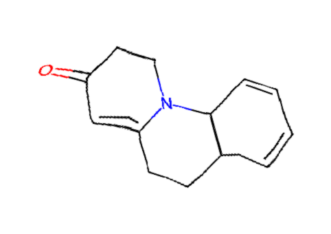 O=C1C=C2CCC3C=CC=CC3N2CC1